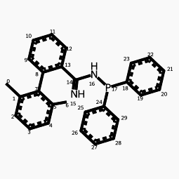 Cc1cccc(C)c1-c1ccccc1C(=N)NP(c1ccccc1)c1ccccc1